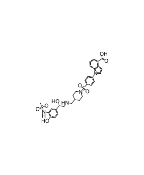 CS(=O)(=O)Nc1cc([C@H](O)CNCC2CCN(S(=O)(=O)c3ccc(-n4ccc5c(C(=O)O)cccc54)cc3)CC2)ccc1O